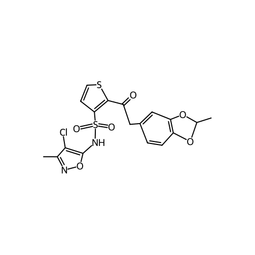 Cc1noc(NS(=O)(=O)c2ccsc2C(=O)Cc2ccc3c(c2)OC(C)O3)c1Cl